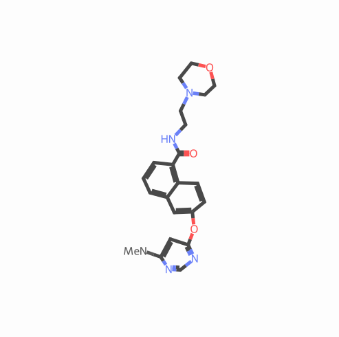 CNc1cc(Oc2ccc3c(C(=O)NCCN4CCOCC4)cccc3c2)ncn1